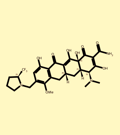 COc1c(CN2CCC[C@H]2C(F)(F)F)cc(O)c2c1C[C@H]1C[C@H]3[C@H](N(C)C)C(O)=C(C(N)=O)C(=O)[C@@]3(O)C(O)=C1C2=O